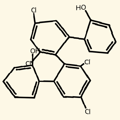 Oc1ccccc1-c1cc(Cl)cc(Cl)c1-c1c(Cl)cc(Cl)cc1-c1ccccc1O